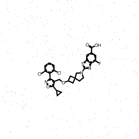 O=C(O)c1cc(F)c2nc(N3CCC4(CC(OCc5c(-c6c(Cl)cccc6Cl)noc5C5CC5)C4)C3)sc2c1